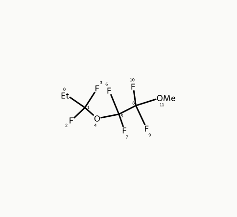 CCC(F)(F)OC(F)(F)C(F)(F)OC